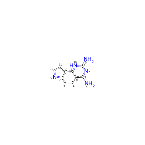 Nc1nc(N)c2ccc3nccc3c2[nH]1